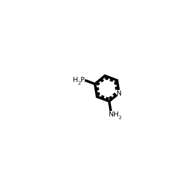 Nc1cc(P)ccn1